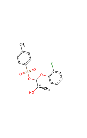 Cc1ccc(S(=O)(=O)OC(Oc2ccccc2F)[C@@H](C)O)cc1